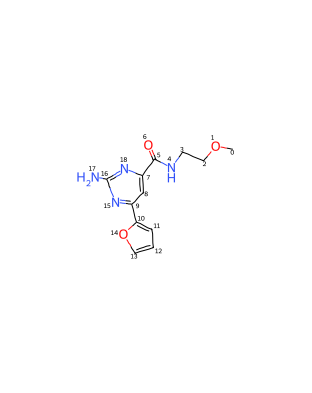 COCCNC(=O)c1cc(-c2ccco2)nc(N)n1